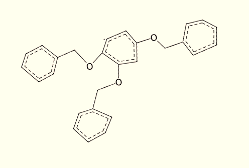 [c]1cc(OCc2ccccc2)cc(OCc2ccccc2)c1OCc1ccccc1